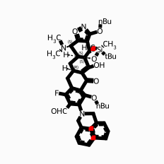 CCCCOc1noc2c1C(=O)[C@@]1(O[Si](C)(C)C(C)(C)C)C(O)=C3C(=O)c4c(c(F)c(C=O)c(N(Cc5ccccc5)Cc5ccccc5)c4OCCCC)C[C@H]3C[C@H]1[C@@H]2N(C)C